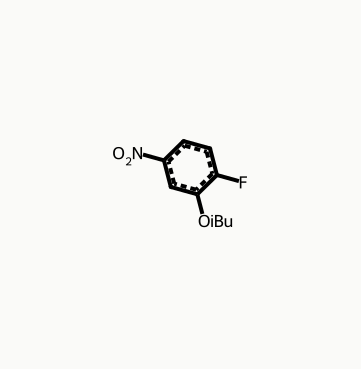 CC(C)COc1cc([N+](=O)[O-])ccc1F